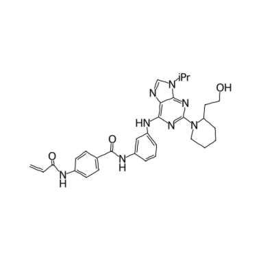 C=CC(=O)Nc1ccc(C(=O)Nc2cccc(Nc3nc(N4CCCCC4CCO)nc4c3ncn4C(C)C)c2)cc1